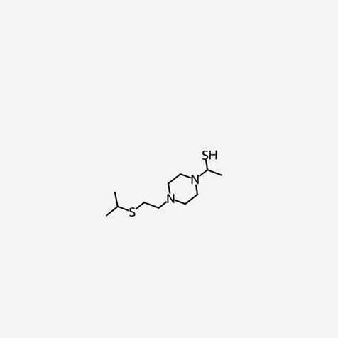 CC(C)SCCN1CCN(C(C)S)CC1